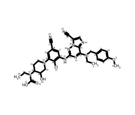 CCN(Cc1ccc(OC)cc1)c1nc(Nc2cc(C#N)cc(N3CCC(N(CC)C(=O)O)C(O)C3)c2Cl)nn2c(C#N)cnc12